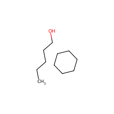 C1CCCCC1.CCCCCO